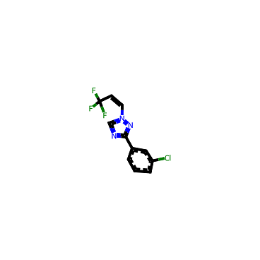 FC(F)(F)/C=C\n1cnc(-c2cccc(Cl)c2)n1